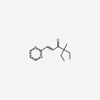 CCC(C)(CC)C(=O)/C=C/c1ncccn1